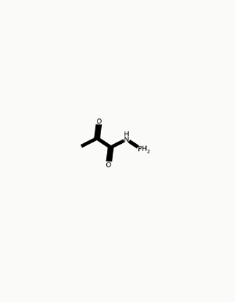 CC(=O)C(=O)NP